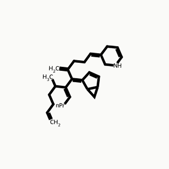 C=CCCC(C)C(=C\CCC)/C(C(=C)CC/C=C1/CC=CNC1)=C1/C=CC2CC12